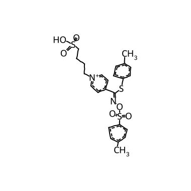 Cc1ccc(S/C(=N\OS(=O)(=O)c2ccc(C)cc2)c2cc[n+](CCCCS(=O)(=O)O)cc2)cc1